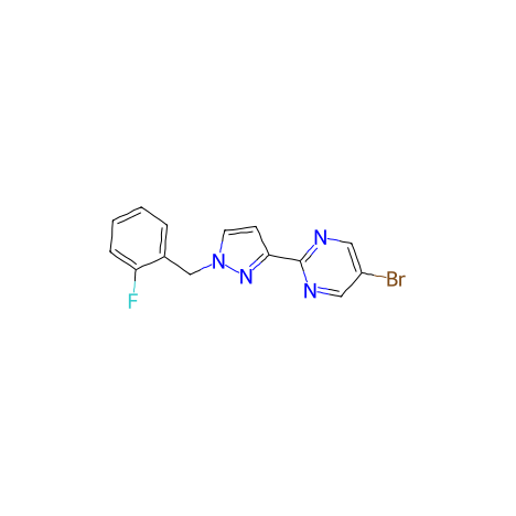 Fc1ccccc1Cn1ccc(-c2ncc(Br)cn2)n1